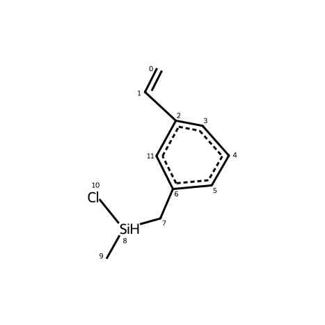 C=Cc1cccc(C[SiH](C)Cl)c1